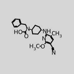 COc1nc(N[C@H]2CC[C@H](N(Cc3ccccc3)C(=O)O)CC2)c(C)cc1C#N